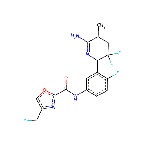 CC1CC(F)(F)C(c2cc(NC(=O)c3nc(CF)co3)ccc2F)N=C1N